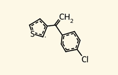 C=C(c1[c]scc1)c1ccc(Cl)cc1